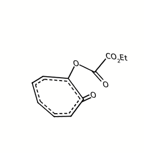 CCOC(=O)C(=O)Oc1cccccc1=O